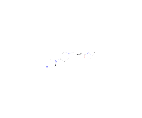 CC(C)(I)NC(=O)/C=C/CN1CCC(N2CCNCC2)CC1